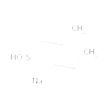 C=CCS(=O)(=O)O.C=C[CH2][Na]